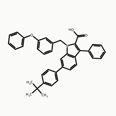 CC(C)(C)c1ccc(-c2ccc3c(-c4ccccc4)c(C(=O)O)n(Cc4cccc(Oc5ccccc5)c4)c3c2)cc1